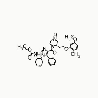 CCOC(=O)N[C@H]1CCCC[C@@H]1n1cnc(C(=O)N2CCNC[C@H]2CCOc2cc(OC)ccc2C)c1-c1ccccc1